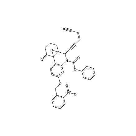 C#C/C=C\C#CC1N(C(=O)Oc2ccccc2)c2cc(OCc3ccccc3[N+](=O)[O-])ccc2C23OC12CCCC3=O